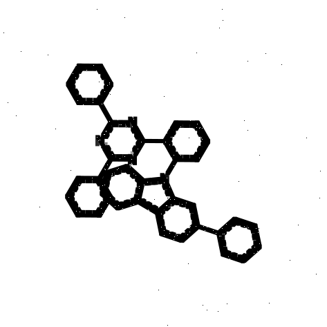 c1ccc(-c2ccc3c4ccccc4n(-c4ccccc4-c4nc(-c5ccccc5)nc(-c5ccccc5)n4)c3c2)cc1